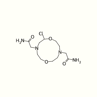 NC(=O)CN1CCOCCN(CC(N)=O)CC(Cl)OCC1